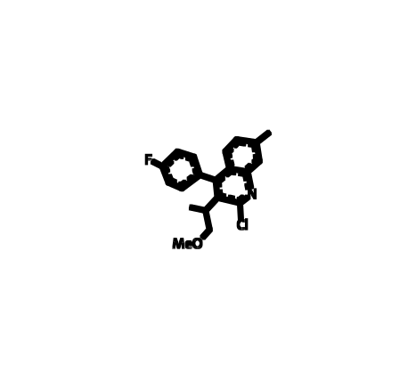 COCC(C)c1c(Cl)nc2cc(C)ccc2c1-c1ccc(F)cc1